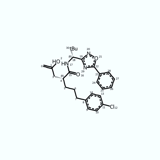 C=C(O)C[C@@H](CCCc1ccc(Cl)cc1)C(=O)N[C@@H](c1noc(-c2ccccc2)n1)C(C)(C)C